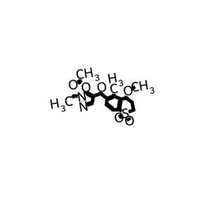 CCn1ncc(C(=O)c2ccc3c(c2C)C(OC)CCS3(=O)=O)c1OC(C)=O